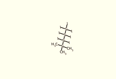 C[Si](C)(C)[Si](I)(I)[Si](I)(I)[Si](I)(I)I